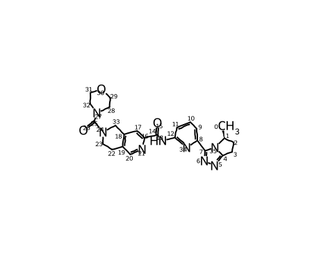 C[C@H]1CCc2nnc(-c3cccc(NC(=O)c4cc5c(cn4)CCN(C(=O)N4CCOCC4)C5)n3)n21